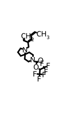 C=C/C(=C\C=C/C)CN1CCCC12CCN(C(=O)OC(C(F)(F)F)C(F)(F)F)CC2